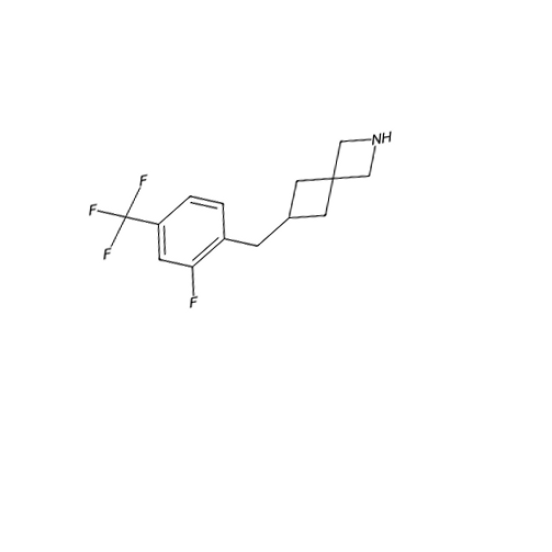 Fc1cc(C(F)(F)F)ccc1CC1CC2(CNC2)C1